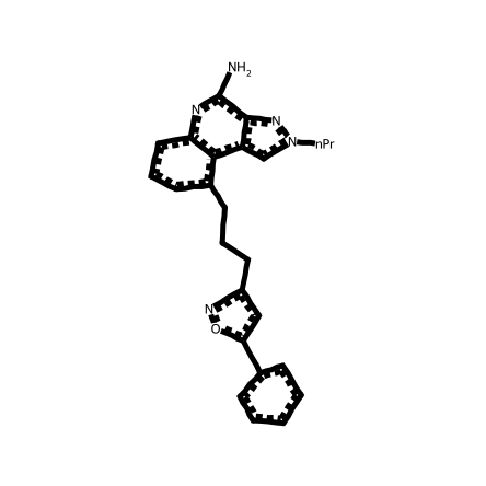 CCCn1cc2c(n1)c(N)nc1cccc(CCCc3cc(-c4ccccc4)on3)c12